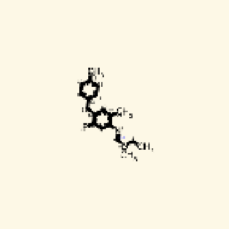 CCN(C)/C=N/c1cc(F)c(Cc2ccc(C)cc2)cc1C